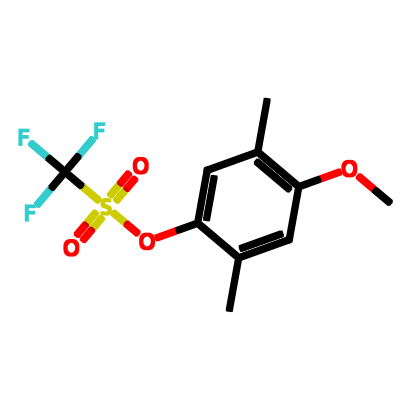 COc1cc(C)c(OS(=O)(=O)C(F)(F)F)cc1C